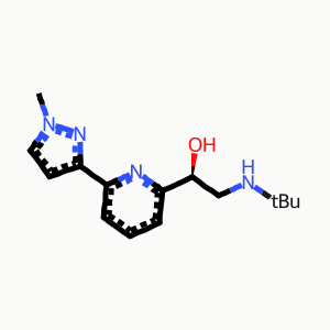 Cn1ccc(-c2cccc([C@@H](O)CNC(C)(C)C)n2)n1